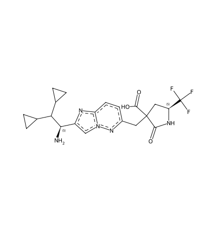 N[C@H](c1cn2nc(CC3(C(=O)O)C[C@@H](C(F)(F)F)NC3=O)ccc2n1)C(C1CC1)C1CC1